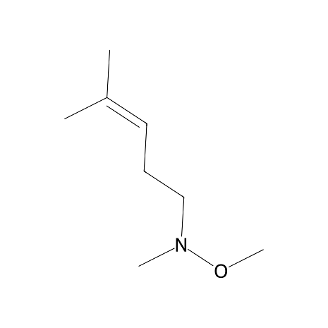 CON(C)CCC=C(C)C